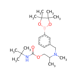 CC(COC(=O)NC(C)(C)C)N(C)Cc1cccc(B2OC(C)(C)C(C)(C)O2)c1